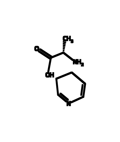 C1=CN=CCC1.C[C@H](N)C(=O)O